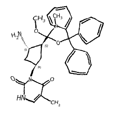 COC(OC)(OC(c1ccccc1)(c1ccccc1)c1ccccc1)[C@H]1C[C@@H](n2c(=O)[nH]cc(C)c2=O)C[C@@H]1N